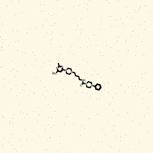 Cc1nc(N2CCN(CCCCNC(=O)N3CCN(c4ccccc4)CC3)CC2)cc(C(C)(C)C)n1